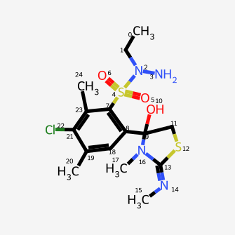 CCN(N)S(=O)(=O)c1c(C2(O)CSC(=NC)N2C)cc(C)c(Cl)c1C